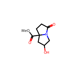 COC(=O)C12CCC(=O)N1CC(O)C2